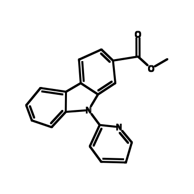 COC(=O)c1ccc2c3ccccc3n(-c3ccccn3)c2c1